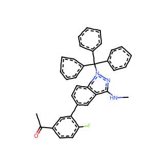 CNc1nn(C(c2ccccc2)(c2ccccc2)c2ccccc2)c2ccc(-c3cc(C(C)=O)ccc3F)cc12